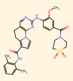 COc1cc(C(=O)N2CCS(=O)(=O)CC2)ccc1Nc1ncc2c(n1)-n1ccc(C(=O)Nc3c(C)cccc3C)c1CC2